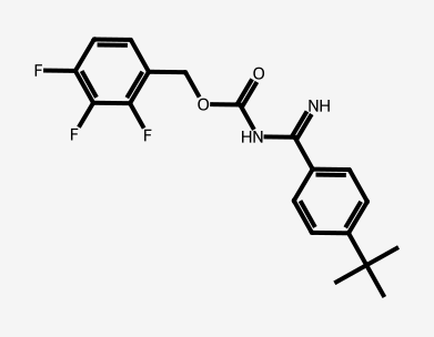 CC(C)(C)c1ccc(C(=N)NC(=O)OCc2ccc(F)c(F)c2F)cc1